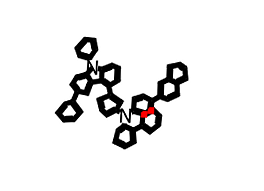 c1ccc(-c2ccc3c(c2)c2c(-c4cccc(N(c5ccc(-c6ccc7ccccc7c6)cc5)c5ccccc5-c5ccccc5)c4)cccc2n3-c2ccccc2)cc1